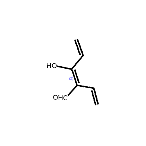 C=C/C(O)=C(\C=C)C=O